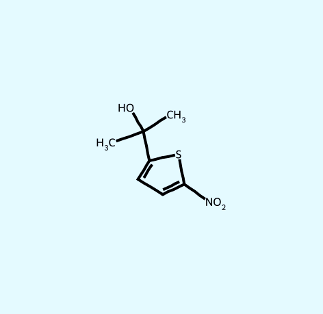 CC(C)(O)c1ccc([N+](=O)[O-])s1